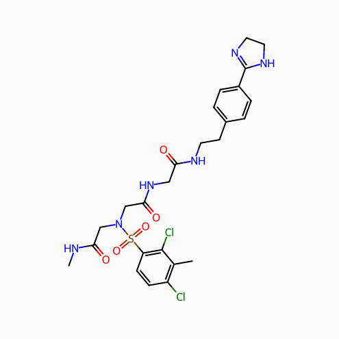 CNC(=O)CN(CC(=O)NCC(=O)NCCc1ccc(C2=NCCN2)cc1)S(=O)(=O)c1ccc(Cl)c(C)c1Cl